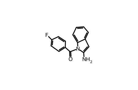 Nc1cc2ccccc2n1C(=O)c1ccc(F)cc1